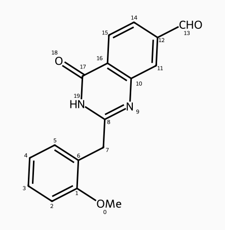 COc1ccccc1Cc1nc2cc(C=O)ccc2c(=O)[nH]1